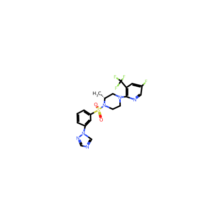 C[C@@H]1CN(c2ncc(F)cc2C(F)(F)F)CCN1S(=O)(=O)c1cccc(-n2cncn2)c1